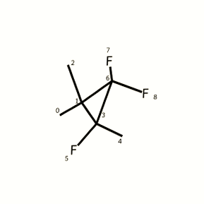 CC1(C)C(C)(F)C1(F)F